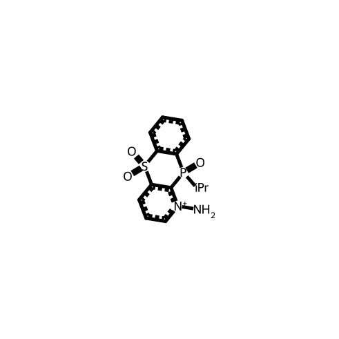 CC(C)P1(=O)c2ccccc2S(=O)(=O)c2ccc[n+](N)c21